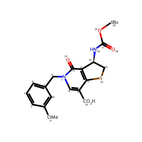 COc1cccc(Cn2cc(C(=O)O)c3c(c2=O)[C@@H](NC(=O)OC(C)(C)C)CS3)c1